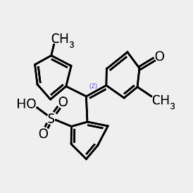 CC1=C/C(=C(/c2cccc(C)c2)c2ccccc2S(=O)(=O)O)C=CC1=O